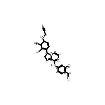 N#CCOC1C=CC(C2CN=C3C(Nc4ccc(C=O)c(Cl)c4)=NC=CN32)=C(F)C1F